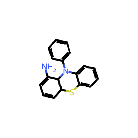 NC1=CC=CC2Sc3ccccc3N(c3ccccc3)C12